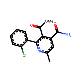 COC(=O)c1c(C(N)=O)cc(C)nc1-c1ccccc1Cl